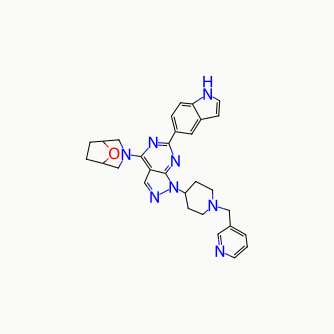 c1cncc(CN2CCC(n3ncc4c(N5CC6CCC(C5)O6)nc(-c5ccc6[nH]ccc6c5)nc43)CC2)c1